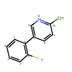 Fc1[c]cccc1-c1ccc(Cl)nc1